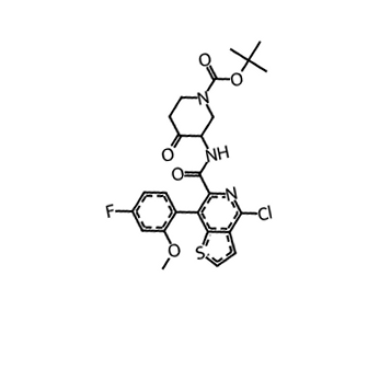 COc1cc(F)ccc1-c1c(C(=O)NC2CN(C(=O)OC(C)(C)C)CCC2=O)nc(Cl)c2ccsc12